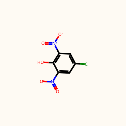 O=[N+]([O-])c1cc(Cl)cc([N+](=O)[O-])c1O